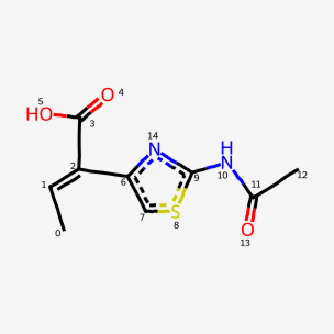 C/C=C(/C(=O)O)c1csc(NC(C)=O)n1